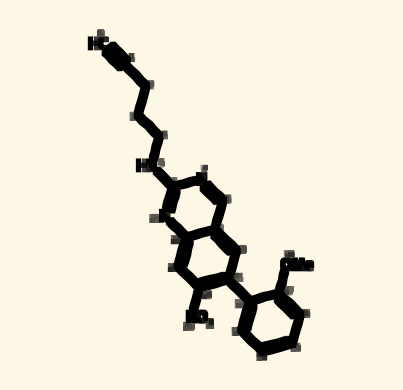 C#CCCCNc1ncc2cc(-c3ccccc3OC)c([N+](=O)[O-])cc2n1